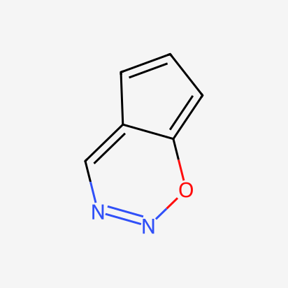 c1cc2cnnoc-2c1